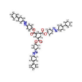 O=C(Oc1ccc(/N=N/c2ccc(-c3ccccc3)cc2)cc1)c1cc(C(=O)Oc2ccc(/N=N/c3ccc(-c4ccccc4)cc3)cc2)cc(C(=O)Oc2ccc(/N=N/c3ccc(-c4ccccc4)cc3)cc2)c1